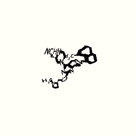 Cc1cccc2cccc(N3Cc4nc(OC[C@@H]5CCCN5C)nc(N5CCN[C@@H](CC#N)C5)c4C3)c12